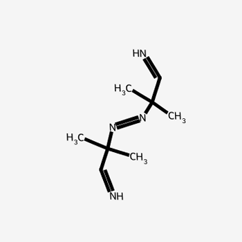 CC(C)(C=N)N=NC(C)(C)C=N